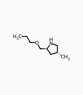 CCCOC[C@@H]1C[C@@H](C)CN1